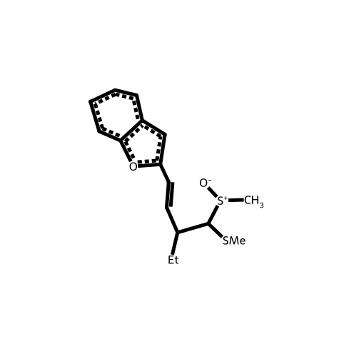 CCC(C=Cc1cc2ccccc2o1)C(SC)[S+](C)[O-]